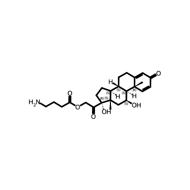 C[C@]12C=CC(=O)C=C1CC[C@@H]1[C@@H]2[C@@H](O)C[C@@]2(C)[C@H]1CC[C@]2(O)C(=O)COC(=O)CCCN